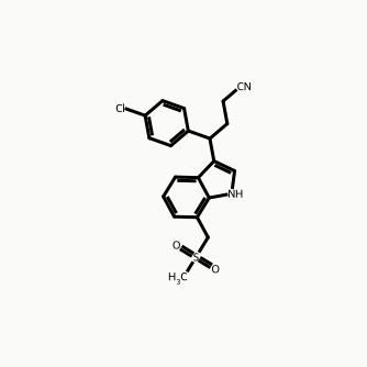 CS(=O)(=O)Cc1cccc2c(C(CCC#N)c3ccc(Cl)cc3)c[nH]c12